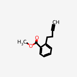 C#CCCc1ccccc1C(=O)OC